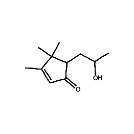 CC1=CC(=O)C(CC(C)O)C1(C)C